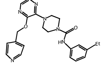 CCc1cccc(NC(=O)N2CCN(c3nccnc3OCc3ccncc3)CC2)c1